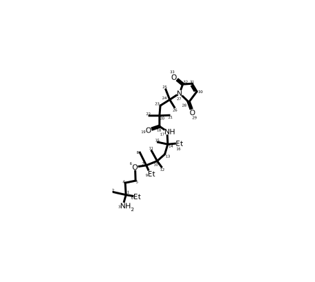 CCC(C)(N)CCOC(C)(CC)C(C)(C)CC(C)(CC)NC(=O)C(C)(C)CC(C)(C)N1C(=O)C=CC1=O